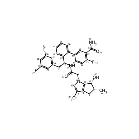 C[C@@H]1Cc2c(C(F)(F)F)nn(CC(=O)N[C@@H](Cc3cc(F)cc(F)c3)c3ncccc3-c3ccc(F)c(C(N)=O)c3)c2[C@@H]1O